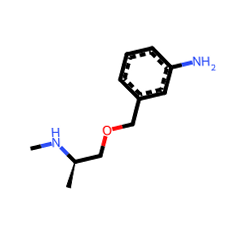 CN[C@H](C)COCc1cccc(N)c1